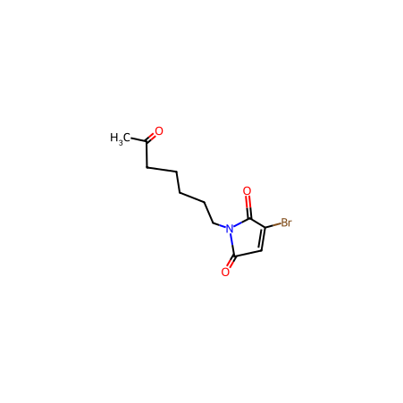 CC(=O)CCCCCN1C(=O)C=C(Br)C1=O